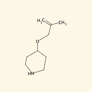 C=C(C)COC1CCNCC1